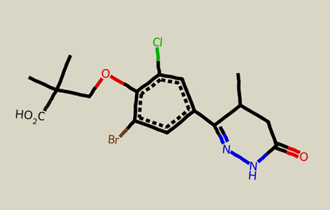 CC1CC(=O)NN=C1c1cc(Cl)c(OCC(C)(C)C(=O)O)c(Br)c1